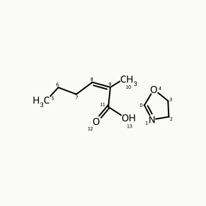 C1=NCCO1.CCCC=C(C)C(=O)O